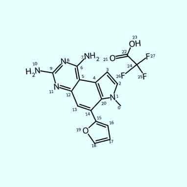 Cn1ccc2c3c(N)nc(N)nc3cc(-c3ccco3)c21.O=C(O)C(F)(F)F